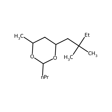 CCCC1OC(C)CC(CC(C)(C)CC)O1